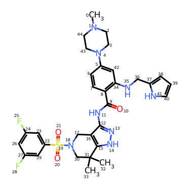 CN1CCN(c2ccc(C(=O)Nc3n[nH]c4c3CN(S(=O)(=O)c3cc(F)cc(F)c3)CC4(C)C)c(NCc3ccc[nH]3)c2)CC1